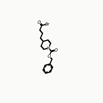 O=C(Br)CCCC1CCN(C(=O)OCc2ccccc2)CC1